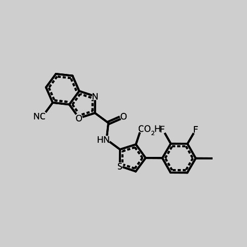 Cc1ccc(-c2csc(NC(=O)c3nc4cccc(C#N)c4o3)c2C(=O)O)c(F)c1F